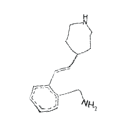 NCc1ccccc1/C=C/C1CCNCC1